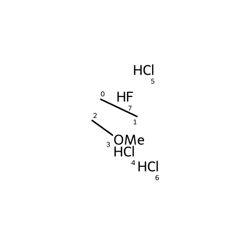 CC.COC.Cl.Cl.Cl.F